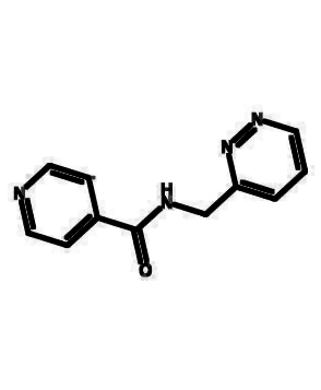 O=C(NCc1cccnn1)c1[c]cncc1